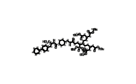 CC(C)(C)OC(=O)CN(CCN(CCN(CC(=O)OC(C)(C)C)CC(=O)OC(C)(C)C)C(CCC(=O)NC[C@H]1CC[C@H](C(=O)N[C@@H](Cc2ccc(-c3ccccc3)cc2)C(=O)O)CC1)P(=O)(OC(C)(C)C)OC(C)(C)C)CC(=O)OC(C)(C)C